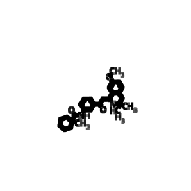 COc1ccc2c(c1)/C(=C/C(=O)c1cccc(NC(=O)C3(C)CCCCC3)c1)NC(C)(C)C2